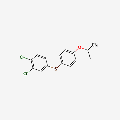 CC(C#N)Oc1ccc(Sc2ccc(Cl)c(Cl)c2)cc1